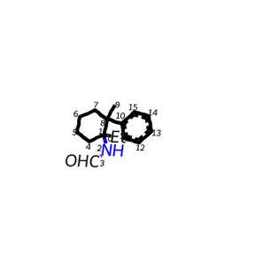 CCC1(NC=O)CCCCC1(C)c1ccccc1